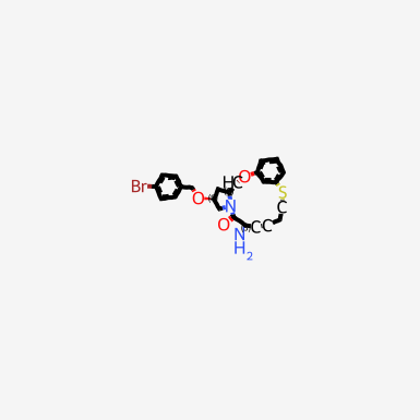 N[C@H]1CCCCSc2cccc(c2)OC[C@@H]2C[C@H](OCc3ccc(Br)cc3)CN2C1=O